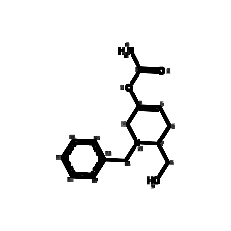 NC(=O)OC1=CCC(CO)N(Cc2ccccc2)C1